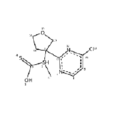 C[SH](C(O)=S)C1(c2nccc(Cl)n2)CCOC1